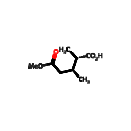 COC(=O)C[C@H](C)[C@H](C)C(=O)O